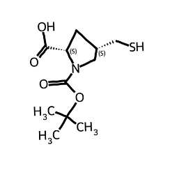 CC(C)(C)OC(=O)N1C[C@@H](CS)C[C@H]1C(=O)O